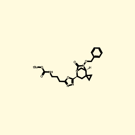 CC(C)(C)OC(=O)NCCCc1nnc([C@@H]2CC3(CC3)[C@H]3CN2C(=O)N3OCc2ccccc2)o1